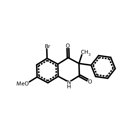 COc1cc(Br)c2c(c1)NC(=O)C(C)(c1ccccc1)C2=O